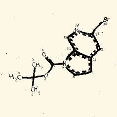 CC(C)(C)OC(=O)n1ccc2cc(Br)ncc21